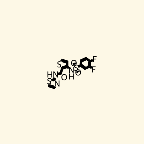 O=C(Nc1nccs1)c1sccc1NS(=O)(=O)c1ccc(F)c(F)c1